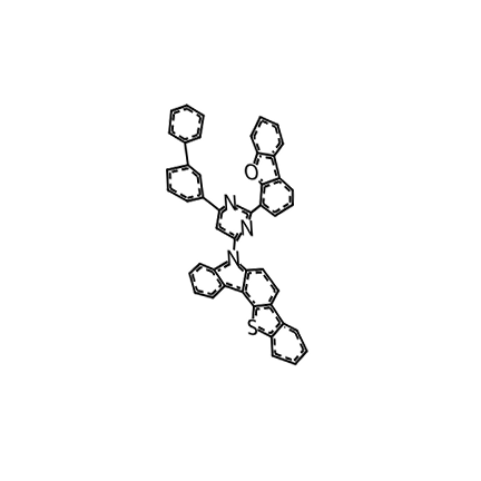 c1ccc(-c2cccc(-c3cc(-n4c5ccccc5c5c6sc7ccccc7c6ccc54)nc(-c4cccc5c4oc4ccccc45)n3)c2)cc1